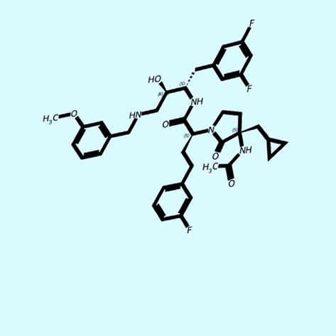 COc1cccc(CNC[C@@H](O)[C@H](Cc2cc(F)cc(F)c2)NC(=O)[C@H](CCc2cccc(F)c2)N2CC[C@](CC3CC3)(NC(C)=O)C2=O)c1